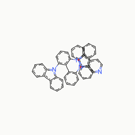 c1ccc(-n2c3ccccc3c3ccncc32)c(-c2c(-n3c4ccccc4c4ccccc43)cccc2-n2c3ccccc3c3ccccc32)c1